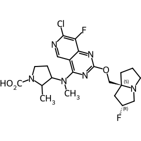 CC1C(N(C)c2nc(OC[C@@]34CCCN3C[C@H](F)C4)nc3c(F)c(Cl)ncc23)CCN1C(=O)O